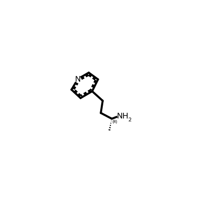 C[C@@H](N)CCc1ccncc1